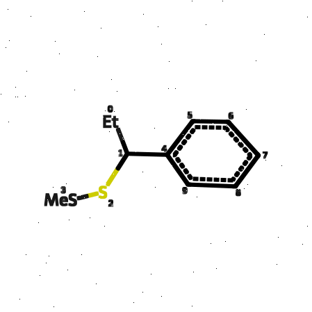 CCC(SSC)c1ccccc1